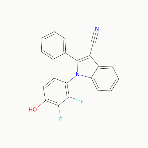 N#Cc1c(-c2ccccc2)n(-c2ccc(O)c(F)c2F)c2ccccc12